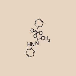 CC(=NNc1ccccc1)OS(=O)(=O)c1ccccc1